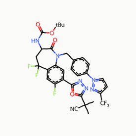 CC(C)(C)OC(=O)NC1CC(F)(F)c2cc(F)c(-c3nnc(C(C)(C)C#N)o3)cc2N(Cc2ccc(-n3ccc(C(F)(F)F)n3)cc2)C1=O